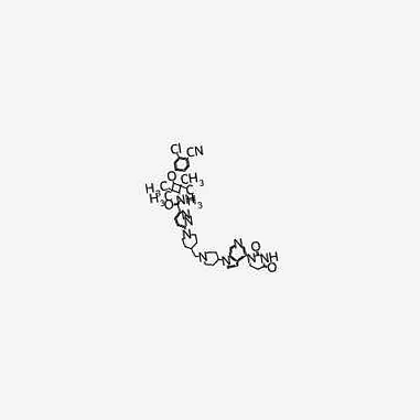 CC1(C)[C@H](NC(=O)c2ccc(N3CCC(CN4CCC(n5ccc6c(N7CCC(=O)NC7=O)cncc65)CC4)CC3)nn2)C(C)(C)[C@H]1Oc1ccc(C#N)c(Cl)c1